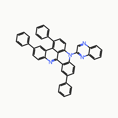 c1ccc(-c2ccc3c(c2)-c2nc4ccc(-c5ccccc5)cc4c4c(-c5ccccc5)ccc(c24)N3c2cnc3ccccc3n2)cc1